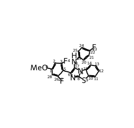 COc1cc(F)c(-c2nc3sc4ccccc4n3c2Nc2ccc(F)cc2)c(F)c1